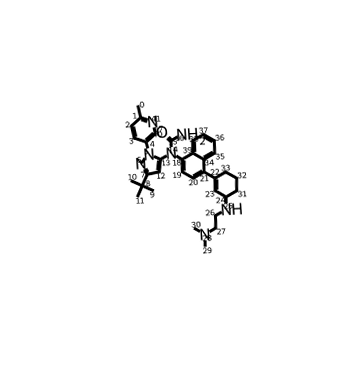 Cc1ccc(-n2nc(C(C)(C)C)cc2N(C(N)=O)c2ccc(C3=CC(NCCN(C)C)CCC3)c3ccccc23)cn1